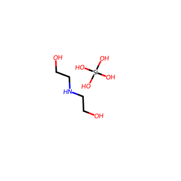 OCCNCCO.O[Si](O)(O)O